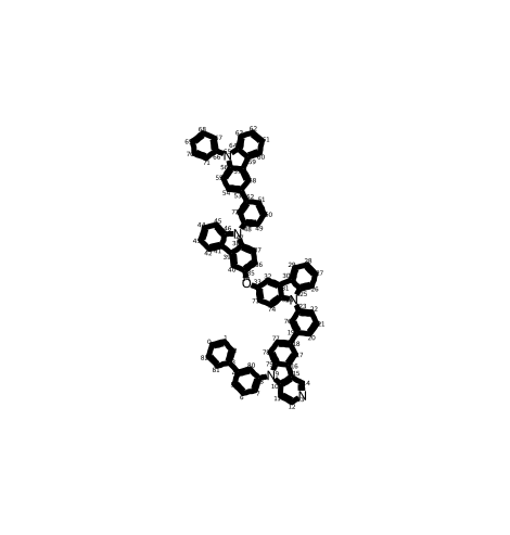 c1ccc(-c2cccc(-n3c4ccncc4c4cc(-c5cccc(-n6c7ccccc7c7cc(Oc8ccc9c(c8)c8ccccc8n9-c8cccc(-c9ccc%10c(c9)c9ccccc9n%10-c9ccccc9)c8)ccc76)c5)ccc43)c2)cc1